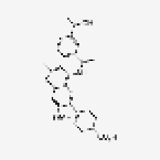 COc1cc2nc(C)nc(N[C@H](C)c3cccc(C(C)O)c3)c2cc1C1=CCC(C(=O)O)CC1